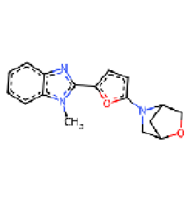 Cn1c(-c2ccc(N3CC4CC3CO4)o2)nc2ccccc21